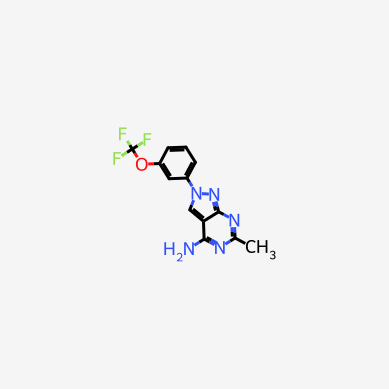 Cc1nc(N)c2cn(-c3cccc(OC(F)(F)F)c3)nc2n1